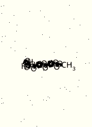 CCOC(=O)Oc1ccc(C(=O)Oc2ccc(C(=O)O[C@@H]3CO[C@@H]4CCO[C@@H]43)cc2)cc1